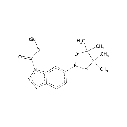 CC(C)(C)OC(=O)n1nnc2ccc(B3OC(C)(C)C(C)(C)O3)cc21